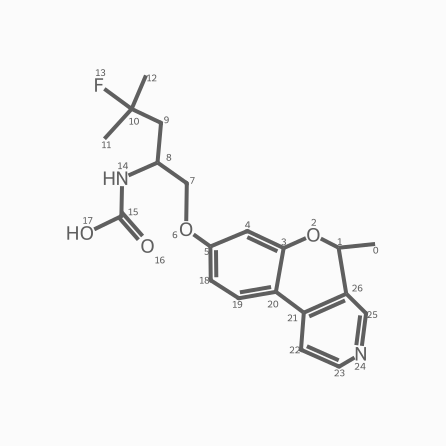 CC1Oc2cc(OCC(CC(C)(C)F)NC(=O)O)ccc2-c2ccncc21